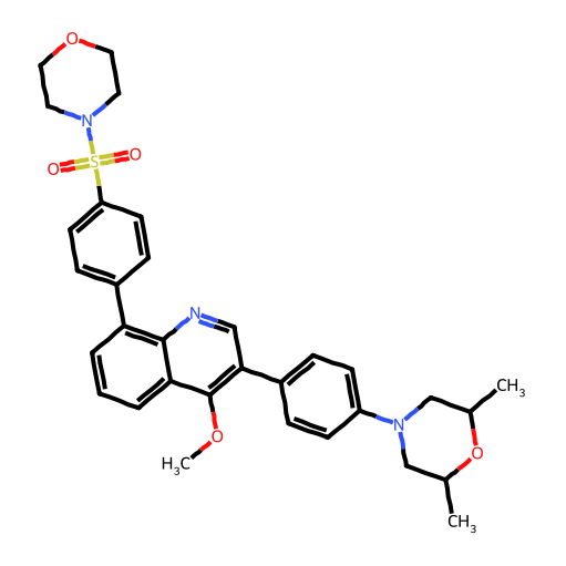 COc1c(-c2ccc(N3CC(C)OC(C)C3)cc2)cnc2c(-c3ccc(S(=O)(=O)N4CCOCC4)cc3)cccc12